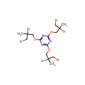 CC(Br)(CBr)COc1nc(OCC(C)(Br)CBr)nc(OCC(C)(Br)CBr)n1